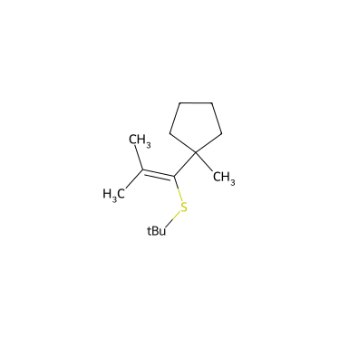 CC(C)=C(SC(C)(C)C)C1(C)CCCC1